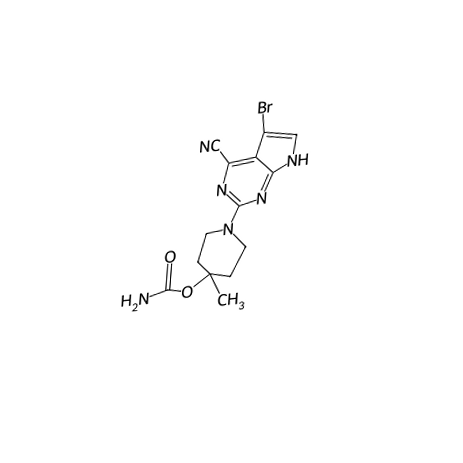 CC1(OC(N)=O)CCN(c2nc(C#N)c3c(Br)c[nH]c3n2)CC1